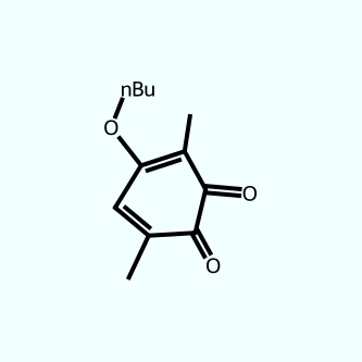 CCCCOC1=C(C)C(=O)C(=O)C(C)=C1